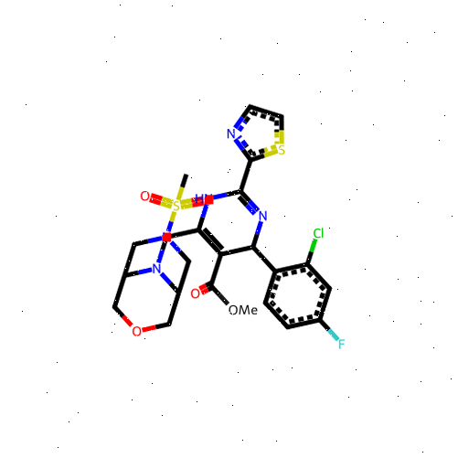 COC(=O)C1=C(CN2C3COCC2CN(S(C)(=O)=O)C3)NC(c2nccs2)=NC1c1ccc(F)cc1Cl